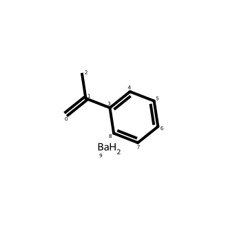 C=C(C)c1ccccc1.[BaH2]